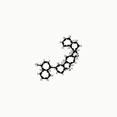 Ic1ccc(-c2ccc3sc4cc5sc6ccc7ccccc7c6c5cc4c3c2)c2ccccc12